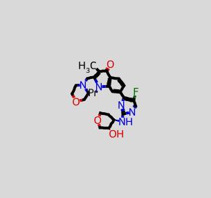 Cc1c(CN2CCOCC2)n(C(C)C)c2cc(-c3nc(N[C@@H]4CCOC[C@H]4O)ncc3F)ccc2c1=O